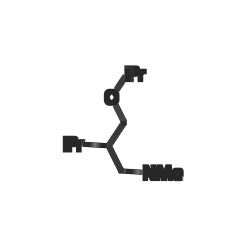 CNCC(COC(C)C)C(C)C